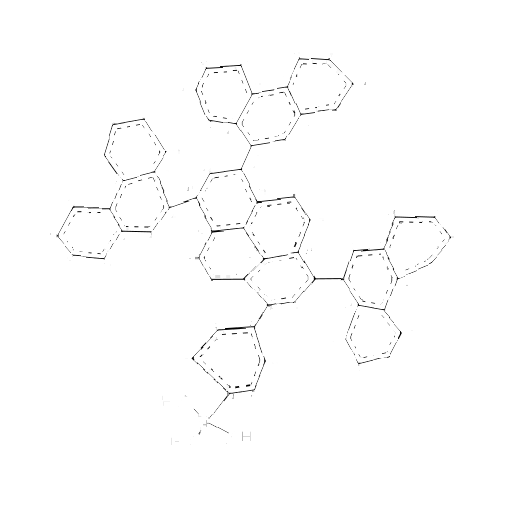 C[Si](C)(C)c1ccc(-c2cc(-c3cc4ccccc4c4ccccc34)c3ccc4c(-c5cc6ccccc6c6ccccc56)cc(-c5cc6ccccc6c6ccccc56)c5ccc2c3c54)cc1